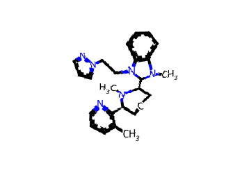 Cc1cccnc1[C@@H]1CCC[C@H](C2N(C)c3ccccc3N2CCn2cccn2)N1C